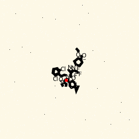 CCOC(=O)[C@]1(C)CC[C@@H](n2ncc(C(=O)N(CC3CCC4(CC3)CC4)CC(O[Si](CC)(CC)CC)c3c(Cl)cccc3Cl)c2C(F)(F)F)CC1